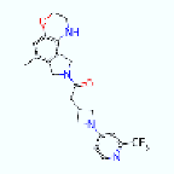 Cc1cc2c(c3c1CN(C(=O)CC1CN(c4ccnc(C(F)(F)F)c4)C1)C3)NCCO2